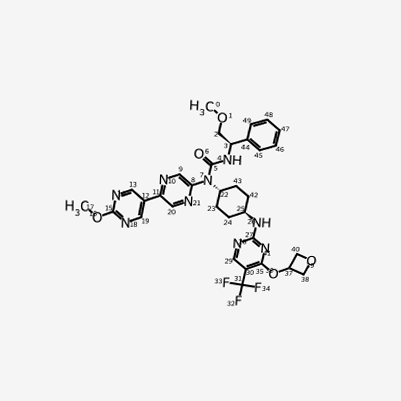 COC[C@H](NC(=O)N(c1cnc(-c2cnc(OC)nc2)cn1)[C@H]1CC[C@H](Nc2ncc(C(F)(F)F)c(OC3COC3)n2)CC1)c1ccccc1